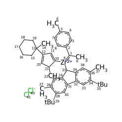 C/[C](c1ccc(C)cc1)=[Zr+2](/[C]1=CC(C2(C)CCCCC2)=CC1C)[CH]1c2cc(C)c(C(C)(C)C)cc2-c2cc(C(C)(C)C)c(C)cc21.[Cl-].[Cl-]